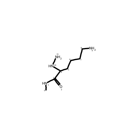 CNC(=O)C(CCCCN)NN